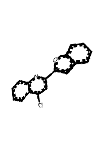 Clc1cc(-c2cc3ccccc3o2)nc2ccccc12